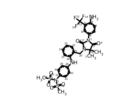 CC1(C)C(=O)N(c2ccc(N)c(C(F)(F)F)c2)C(=O)N1Cc1ccccc1Nc1ccc(N(S(C)(=O)=O)S(C)(=O)=O)cc1